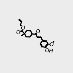 C=CCOC(=O)C1(C)CCC(C(=O)C=Cc2ccc(O)c(OC)c2)CC1